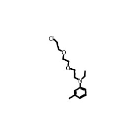 CCN(CCOCCOCCCl)c1cccc(C)c1